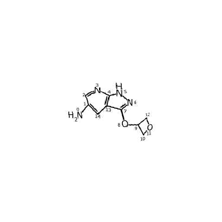 Nc1cnc2[nH]nc(OC3COC3)c2c1